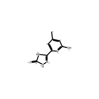 Cc1cc(O)nc(-c2n[nH]c(=O)[nH]2)c1